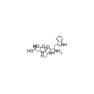 CCC(NC(=O)C(N)Cc1c[nH]c2ccccc12)C(=O)NC(CC(=O)O)C(=O)O